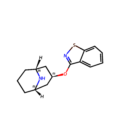 c1ccc2c(O[C@@H]3C[C@H]4CCC[C@@H](C3)N4)nsc2c1